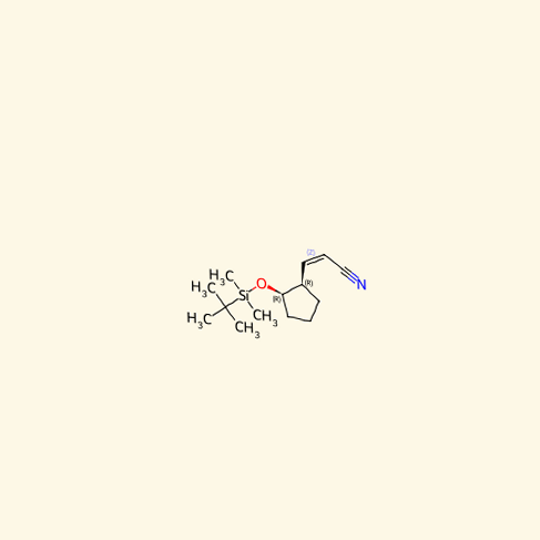 CC(C)(C)[Si](C)(C)O[C@@H]1CCC[C@@H]1/C=C\C#N